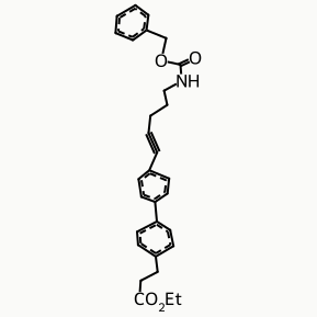 CCOC(=O)CCc1ccc(-c2ccc(C#CCCCNC(=O)OCc3ccccc3)cc2)cc1